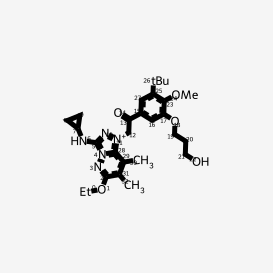 CCOc1nn2c(NC3CC3)n[n+](CC(=O)c3cc(OCCCO)c(OC)c(C(C)(C)C)c3)c2c(C)c1C